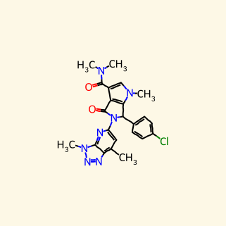 Cc1cc(N2C(=O)c3c(C(=O)N(C)C)cn(C)c3C2c2ccc(Cl)cc2)nc2c1nnn2C